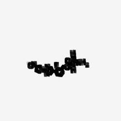 CO/N=C1\CCN(c2ncc(-c3cccc(COC(=O)NC(=N)N)c3F)cn2)C1